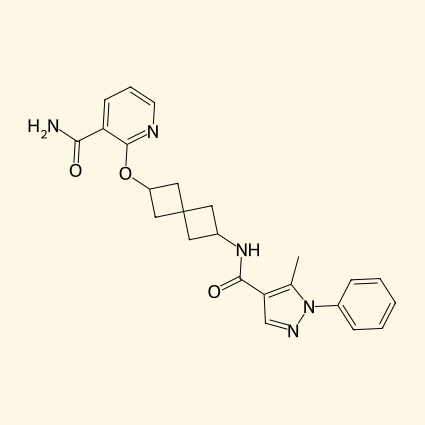 Cc1c(C(=O)NC2CC3(C2)CC(Oc2ncccc2C(N)=O)C3)cnn1-c1ccccc1